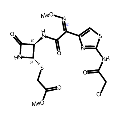 CO/N=C(\C(=O)N[C@@H]1C(=O)N[C@H]1SCC(=O)OC)c1csc(NC(=O)CCl)n1